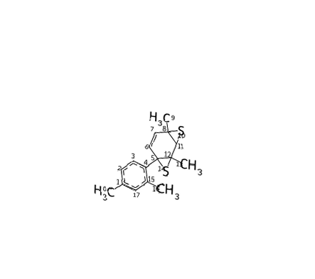 Cc1ccc(C23C=CC4(C)SC4C2(C)S3)c(C)c1